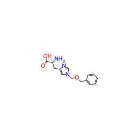 NC(Cc1cn(COCc2ccccc2)cn1)C(=O)O